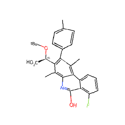 Cc1ccc(-c2c([C@H](OC(C)(C)C)C(=O)O)c(C)c3nc(O)c4c(F)cccc4c3c2C)cc1